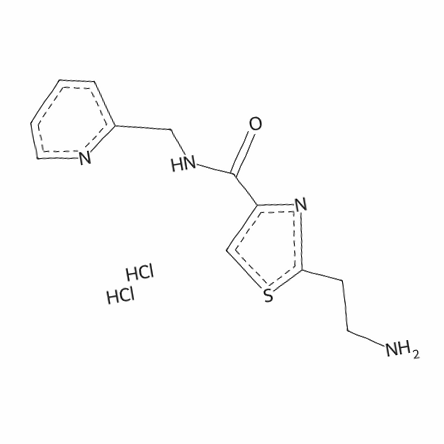 Cl.Cl.NCCc1nc(C(=O)NCc2ccccn2)cs1